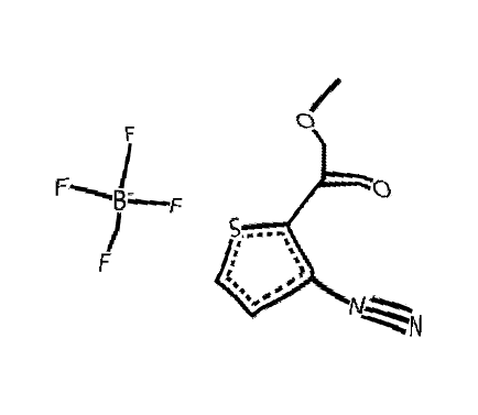 COC(=O)c1sccc1[N+]#N.F[B-](F)(F)F